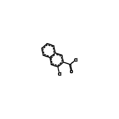 O=C(Cl)c1cc2ccccc2cc1Cl